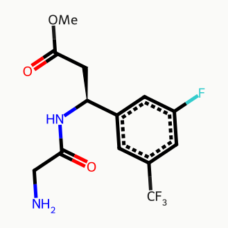 COC(=O)C[C@H](NC(=O)CN)c1cc(F)cc(C(F)(F)F)c1